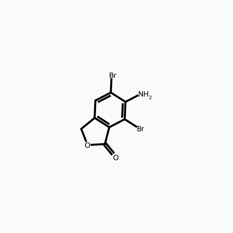 Nc1c(Br)cc2c(c1Br)C(=O)OC2